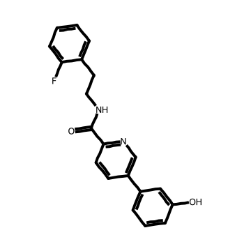 O=C(NCCc1ccccc1F)c1ccc(-c2cccc(O)c2)cn1